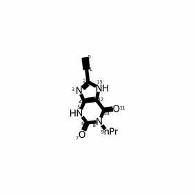 C#Cc1nc2[nH]c(=O)n(CCC)c(=O)c2[nH]1